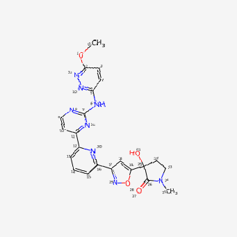 COc1ccc(Nc2nccc(-c3cccc(-c4cc(C5(O)CCN(C)C5=O)on4)n3)n2)nn1